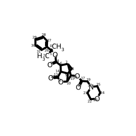 CC(C)(OC(=O)C1C2CC3C(OC(=O)C31)C2OC(=O)CN1CCOCC1)c1ccccc1